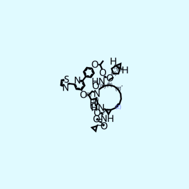 CC[C@@H]1C[C@H](C)CC/C=C\C2C[C@@]2(C(=O)NS(=O)(=O)C2CC2)NC(=O)[C@@H]2C[C@@H](Oc3cc(-c4ccc(OC(C)C)cc4)nc(-c4nccs4)c3)CN2C(=O)[C@H]1NC(=O)O[C@@H]1C[C@@H]2C[C@@H]2C1